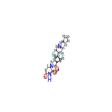 O=C1CCC(N2Cc3c(cc(F)c(C4CCN(CC5CCCC5)CC4)c3F)C2=O)C(=O)N1